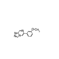 COc1cccc(-c2cn3cnnc3cn2)c1